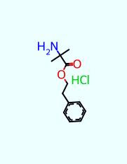 CC(C)(N)C(=O)OCCc1ccccc1.Cl